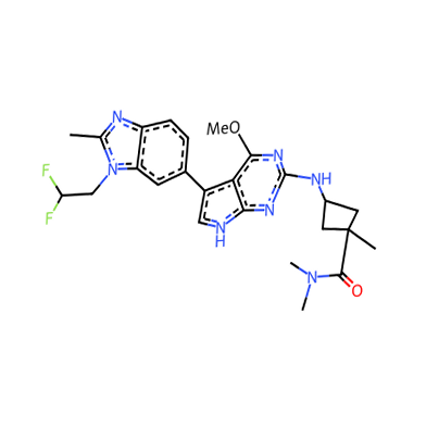 COc1nc(NC2CC(C)(C(=O)N(C)C)C2)nc2[nH]cc(-c3ccc4nc(C)n(CC(F)F)c4c3)c12